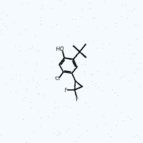 CC(C)(C)c1cc(C2CC2(F)F)c(Cl)cc1O